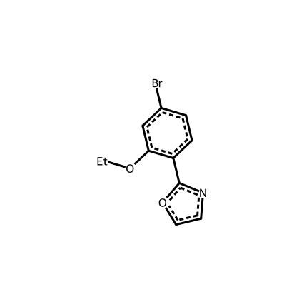 CCOc1cc(Br)ccc1-c1ncco1